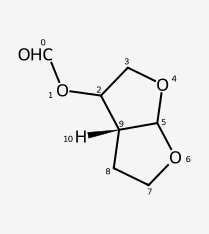 O=COC1COC2OCC[C@H]12